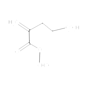 C=C(CCC(=O)O)C(=O)OC=O